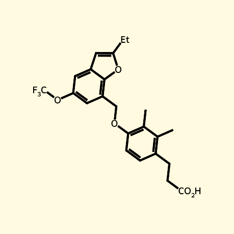 CCc1cc2cc(OC(F)(F)F)cc(COc3ccc(CCC(=O)O)c(C)c3C)c2o1